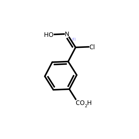 O=C(O)c1cccc(/C(Cl)=N\O)c1